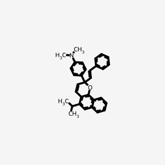 CC(C)c1cc2ccccc2c2c1C=CC(C=Cc1ccccc1)(c1ccc(N(C)C)cc1)O2